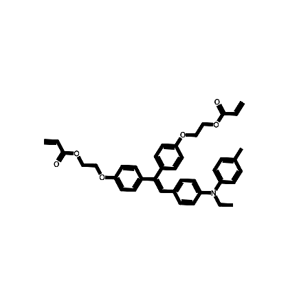 C=CC(=O)OCCOc1ccc(C(=Cc2ccc(N(CC)c3ccc(C)cc3)cc2)c2ccc(OCCOC(=O)C=C)cc2)cc1